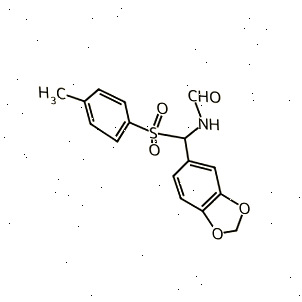 Cc1ccc(S(=O)(=O)C(NC=O)c2ccc3c(c2)OCO3)cc1